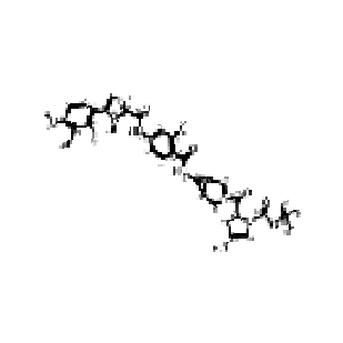 COc1ccc(-c2cnc(C(=O)Nc3ccc(C(=O)NC4C5CN(C(=O)[C@@H]6C[C@@H](O)CN6C(=O)OC(C)(C)C)CC54)c(Cl)c3)n2C)c(F)c1F